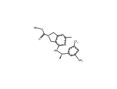 Cc1nc2c(c(N[C@H](C)c3cc(N)cc(C(F)(F)F)c3)n1)CN(C(=O)OC(C)(C)C)C2